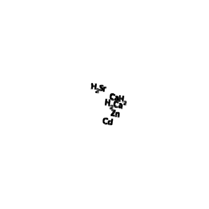 [CaH2].[CaH2].[Cd].[SrH2].[Zn]